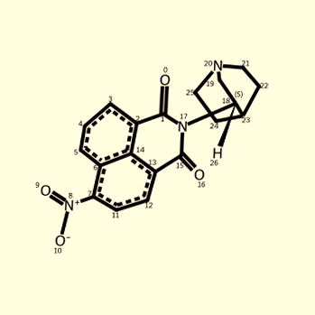 O=C1c2cccc3c([N+](=O)[O-])ccc(c23)C(=O)N1[C@@H]1CN2CCC1CC2